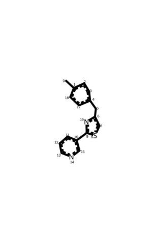 Cc1ccc(Cc2csc(-c3cccnc3)n2)cc1